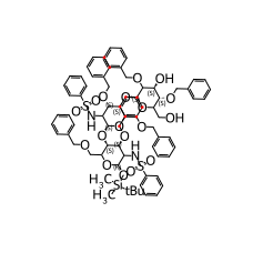 CC(C)(C)[Si](C)(C)O[C@H]1OC(COCc2ccccc2)[C@@H](O[C@@H]2OC(COCc3ccccc3)[C@@H](O[C@@H]3OC(CO)[C@@H](OCc4ccccc4)[C@H](O)C3OCc3ccccc3)[C@@H](OCc3ccccc3)C2NS(=O)(=O)c2ccccc2)[C@@H](OCc2ccccc2)C1NS(=O)(=O)c1ccccc1